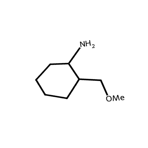 COCC1CCCCC1N